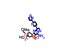 COCCO[C@]1(C(=O)O)CC[C@@H](c2nc3c(-c4ccc(-c5ccn(C)n5)nc4)cnn3c(N)c2S(C)(=O)=O)CC1